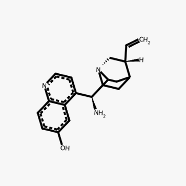 C=C[C@H]1C[N@@]2CCC1CC2[C@@H](N)c1ccnc2ccc(O)cc12